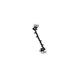 C=C1C(C)=C(/C=C/C(C)=C/C=C/C(C)=C/C=C/C=C(C)/C=C/C=C(C)/C=C/C2=C(C)C(=O)[C@@H](O)CC2(C)C)C(C)(C)C[C@@H]1O